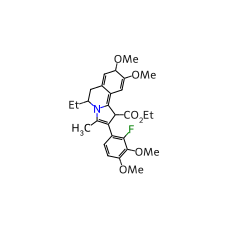 CCOC(=O)C1C(c2ccc(OC)c(OC)c2F)=C(C)N2C1=C1C=C(OC)C(OC)C=C1CC2CC